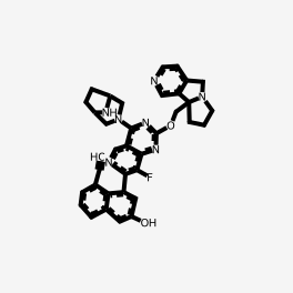 C#Cc1cccc2cc(O)cc(-c3ncc4c(N5CC6CCC(C5)N6)nc(OCC56CCCN5Cc5ccncc56)nc4c3F)c12